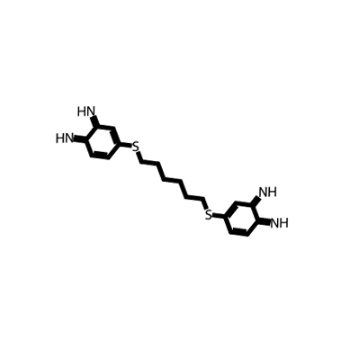 N=C1C=CC(SCCCCCCSC2=CC(=N)C(=N)C=C2)=CC1=N